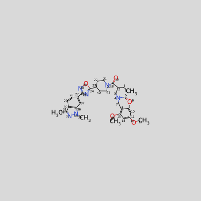 CCC(CN(C=O)Cc1ccc(OC)cc1OC)C(=O)N1CCC(c2nc(-c3ccc4c(C)nn(C)c4c3)no2)CC1